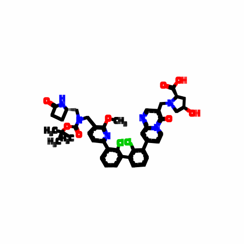 COc1nc(-c2cccc(-c3cccc(-c4ccn5c(=O)c(CN6C[C@H](O)C[C@@H]6C(=O)O)cnc5c4)c3Cl)c2Cl)ccc1CN(C[C@@H]1CCC(=O)N1)C(=O)OC(C)(C)C